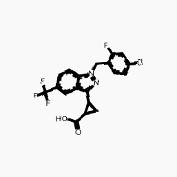 O=C(O)C1CC1c1nn(Cc2ccc(Cl)cc2F)c2ccc(C(F)(F)F)cc12